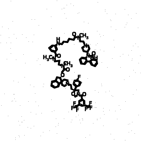 CN(CCN1CCC(N(C(=O)O)c2ccccc2-c2ccccc2)CC1)C(=O)CCCCCNc1cccc(C(=O)N(C)CCCN(C)C(=O)CO[C@H]2Cc3ccccc3C23CCN(CC[C@@]2(c4ccc(F)cc4)CN(C(=O)c4cc(C(F)(F)F)cc(C(F)(F)F)c4)CO2)CC3)c1